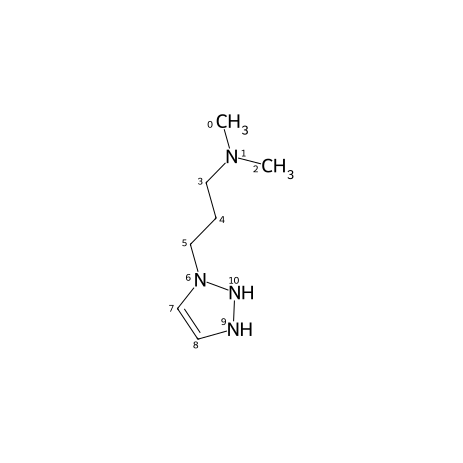 CN(C)CCCN1C=CNN1